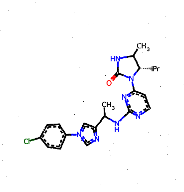 CC(Nc1nccc(N2C(=O)NC(C)[C@@H]2C(C)C)n1)c1cn(-c2ccc(Cl)cc2)cn1